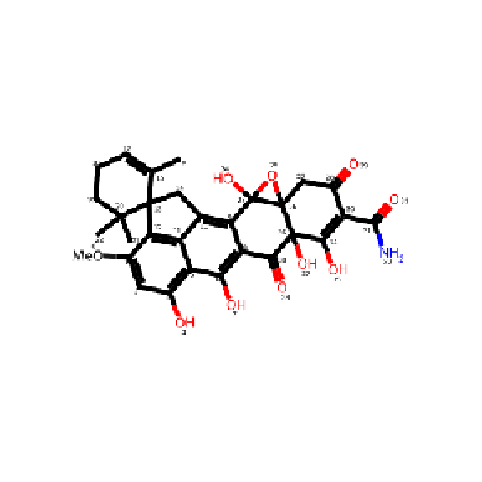 COc1cc(O)c2c(O)c3c(c4c2c1C1(C4)C(C)=CCCC1(C)C)C1(O)OC12CC(=O)C(C(N)=O)=C(O)C2(O)C3=O